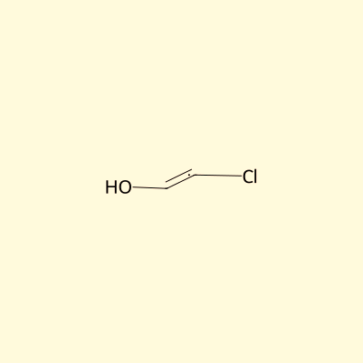 OC=[C]Cl